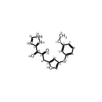 COc1cccc(Sc2coc(CC(=O)C(=O)c3nc[nH]n3)c2)c1